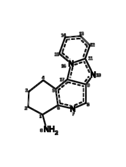 NC1CCCc2c1ncc1nc3ccccn3c21